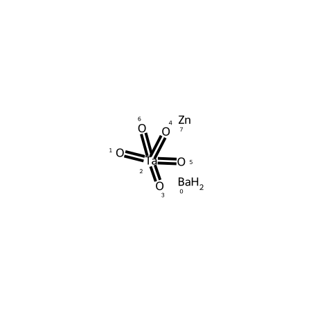 [BaH2].[O]=[Ta](=[O])(=[O])(=[O])=[O].[Zn]